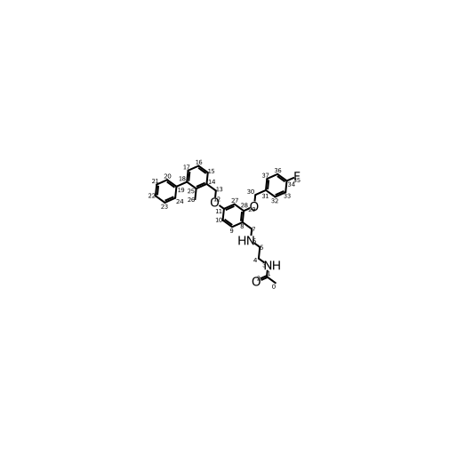 CC(=O)NCCNCc1ccc(OCc2cccc(-c3ccccc3)c2C)cc1OCc1ccc(F)cc1